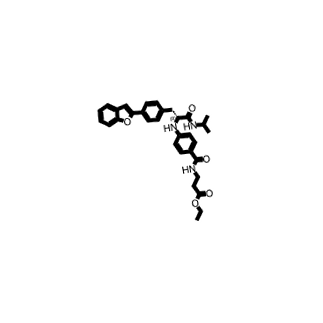 CCOC(=O)CCNC(=O)c1ccc(N[C@H](Cc2ccc(-c3cc4ccccc4o3)cc2)C(=O)NC(C)C)cc1